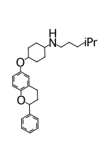 CC(C)CCCNC1CCC(Oc2ccc3c(c2)CCC(c2ccccc2)O3)CC1